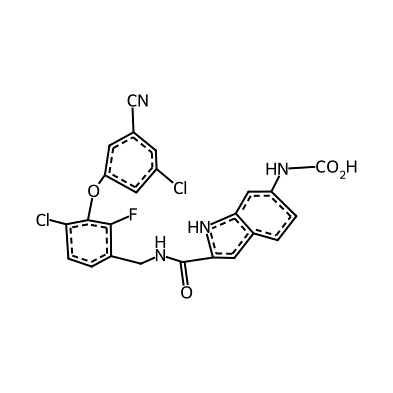 N#Cc1cc(Cl)cc(Oc2c(Cl)ccc(CNC(=O)c3cc4ccc(NC(=O)O)cc4[nH]3)c2F)c1